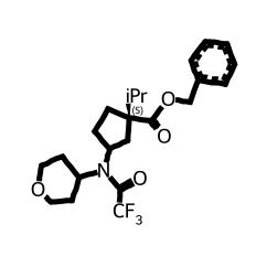 CC(C)[C@]1(C(=O)OCc2ccccc2)CCC(N(C(=O)C(F)(F)F)C2CCOCC2)C1